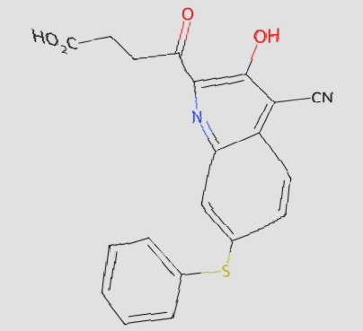 N#Cc1c(O)c(C(=O)CCC(=O)O)nc2cc(Sc3ccccc3)ccc12